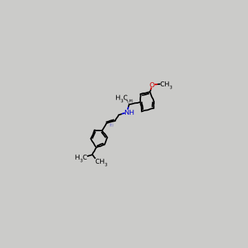 COc1cccc([C@@H](C)NC/C=C/c2ccc(C(C)C)cc2)c1